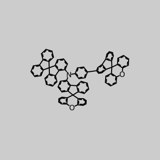 c1ccc2c(c1)Oc1ccccc1C21c2ccccc2-c2cc(-c3ccc(N(c4cccc5c4-c4ccccc4C54c5ccccc5Oc5ccccc54)c4cccc5c4-c4ccccc4C54c5ccccc5-c5ccccc54)cc3)ccc21